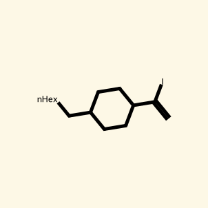 C=C(I)C1CCC(CCCCCCC)CC1